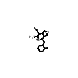 CC1CC=CC=C1Cc1[nH]c(N)c(C#N)c2cncc1-2